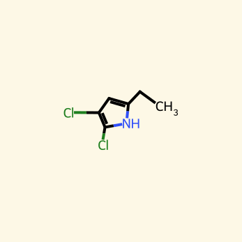 CCc1cc(Cl)c(Cl)[nH]1